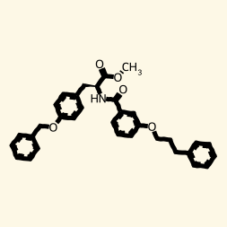 COC(=O)[C@H](Cc1ccc(OCc2ccccc2)cc1)NC(=O)c1cccc(OCCCc2ccccc2)c1